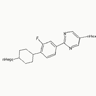 CCCCCCCC1CCC(c2ccc(-c3ncc(CCCCCC)cn3)cc2F)CC1